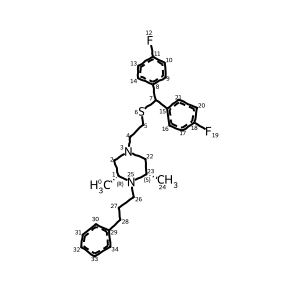 C[C@@H]1CN(CCSC(c2ccc(F)cc2)c2ccc(F)cc2)C[C@H](C)N1CCCc1ccccc1